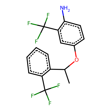 CC(Oc1ccc(N)c(C(F)(F)F)c1)c1ccccc1C(F)(F)F